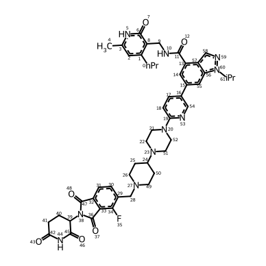 CCCc1cc(C)[nH]c(=O)c1CNC(=O)c1cc(-c2ccc(N3CCN(C4CCN(Cc5ccc6c(c5F)C(=O)N(C5CCC(=O)NC5=O)C6=O)CC4)CC3)nc2)cc2c1cnn2C(C)C